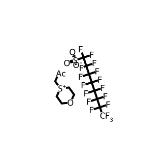 CC(=O)C[S+]1CCOCC1.O=S(=O)([O-])C(F)(F)C(F)(F)C(F)(F)C(F)(F)C(F)(F)C(F)(F)C(F)(F)C(F)(F)F